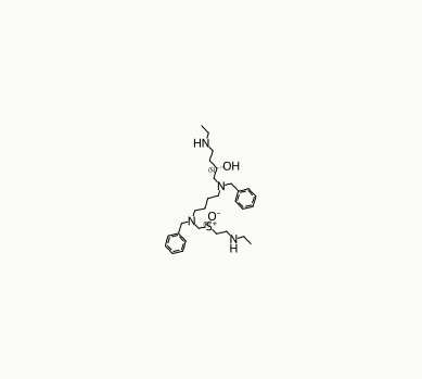 CCNCC[C@H](O)CN(CCCCN(Cc1ccccc1)C[S@@+]([O-])CCNCC)Cc1ccccc1